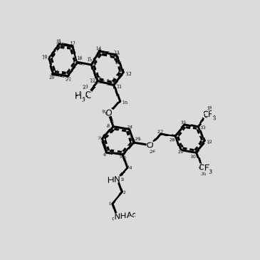 CC(=O)NCCNCc1ccc(OCc2cccc(-c3ccccc3)c2C)cc1OCc1cc(C(F)(F)F)cc(C(F)(F)F)c1